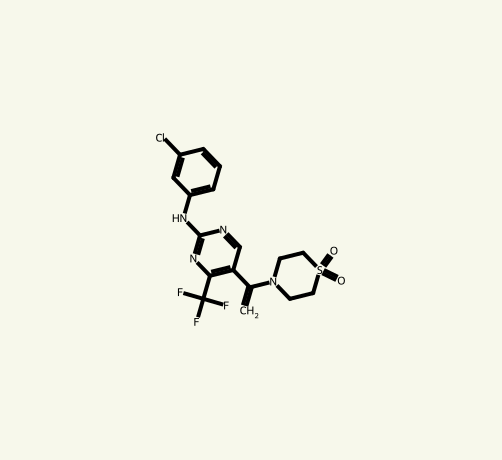 C=C(c1cnc(Nc2cccc(Cl)c2)nc1C(F)(F)F)N1CCS(=O)(=O)CC1